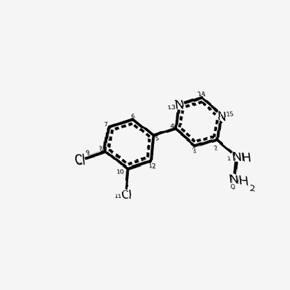 NNc1cc(-c2ccc(Cl)c(Cl)c2)ncn1